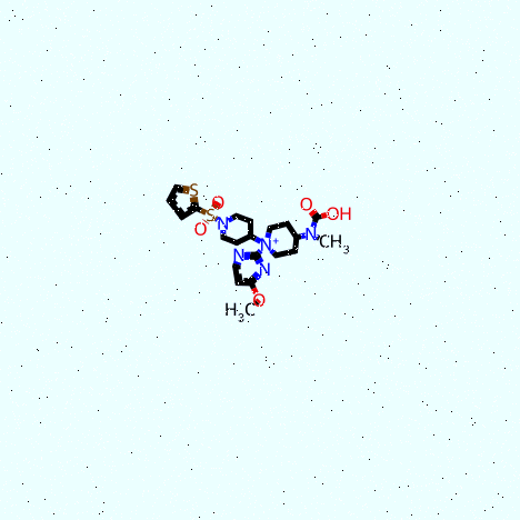 COc1ccnc([N+]2(C3CCN(S(=O)(=O)c4cccs4)CC3)CCC(N(C)C(=O)O)CC2)n1